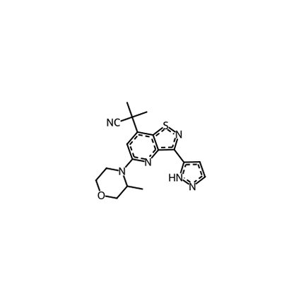 CC1COCCN1c1cc(C(C)(C)C#N)c2snc(-c3ccn[nH]3)c2n1